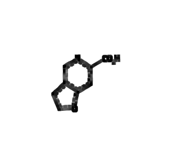 O=C(O)c1cc2occc2cn1